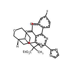 CCOC(=O)C(C)(C)N1CC2COC[C@@H](C1)N2Cc1nc(-c2nccs2)nc(-c2ccc(F)cc2Cl)c1C(=O)OC